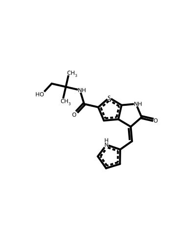 CC(C)(CO)NC(=O)c1cc2c(s1)NC(=O)C2=Cc1ccc[nH]1